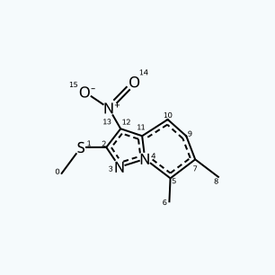 CSc1nn2c(C)c(C)ccc2c1[N+](=O)[O-]